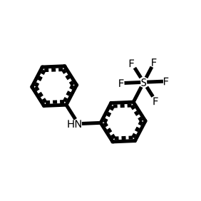 FS(F)(F)(F)(F)c1cccc(Nc2ccccc2)c1